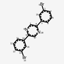 Brc1cccc(-c2cnc(-c3cccc(Br)c3)cn2)c1